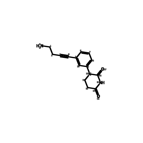 NCCC#Cc1cccc(N2CCC(=O)NC2=O)c1